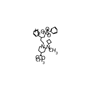 COC(=O)C1CCN(CCC(CN(C)S(=O)(=O)c2ccccc2)c2ccccc2)C(N(C)C2CCC2)C1